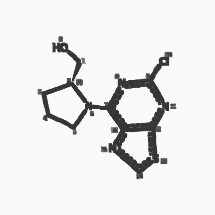 OC[C@H]1CCCN1c1nc(Cl)nc2scnc12